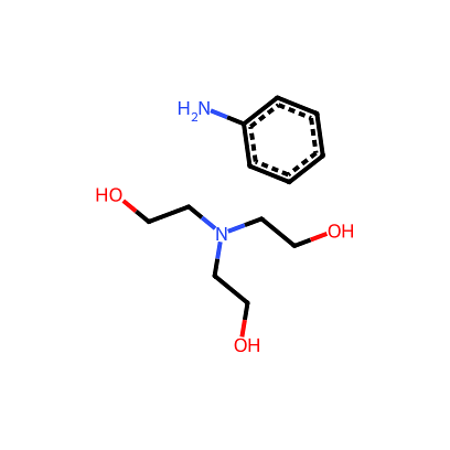 Nc1ccccc1.OCCN(CCO)CCO